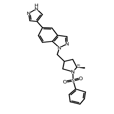 C[C@@H]1CC(Cn2ncc3cc(-c4cn[nH]c4)ccc32)CN1S(=O)(=O)c1ccccc1